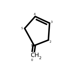 C=C1CC=CC1